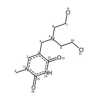 Cn1cc(CN(CCCl)CCCl)c(=O)[nH]c1=O